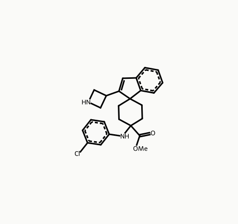 COC(=O)C1(Nc2cccc(Cl)c2)CCC2(CC1)C(C1CNC1)=Cc1ccccc12